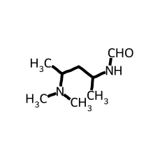 CC(CC(C)N(C)C)NC=O